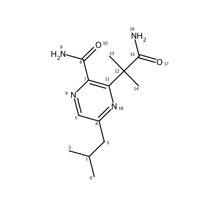 CC(C)Cc1cnc(C(N)=O)c(C(C)(C)C(N)=O)n1